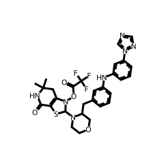 CC1(C)CC2=C(SC(N3CCOCC3Cc3cccc(Nc4cccc(-n5cncn5)c4)c3)N2OC(=O)C(F)(F)F)C(=O)N1